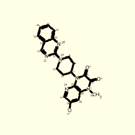 Cn1c(=O)c(=O)n(C2CCN(c3ncc4ccccc4n3)CC2)c2ncc(Cl)cc21